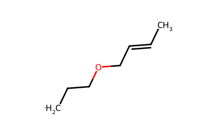 [CH2]CCOC/C=C/C